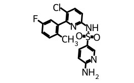 Cc1ccc(F)cc1-c1nc(NS(=O)(=O)c2ccc(N)nc2)ccc1Cl